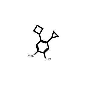 COc1cc(C2CCC2)c(C2CC2)cc1C=O